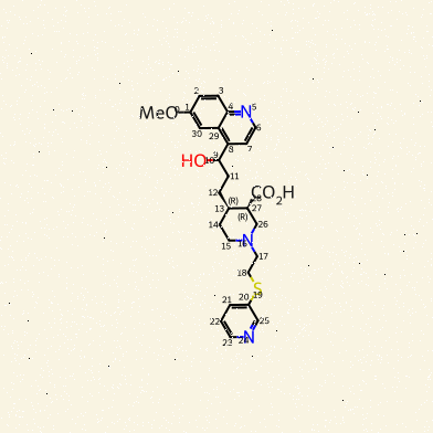 COc1ccc2nccc(C(O)CC[C@@H]3CCN(CCSc4cccnc4)C[C@@H]3C(=O)O)c2c1